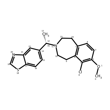 COc1ccc2c(c1Cl)CCN([C@@H](C)c1ccc3scnc3c1)CC2